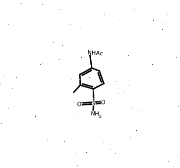 CC(=O)Nc1ccc(S(N)(=O)=O)c(C)c1